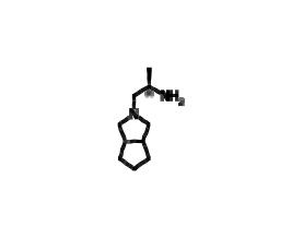 C[C@@H](N)CN1CC2CCCC2C1